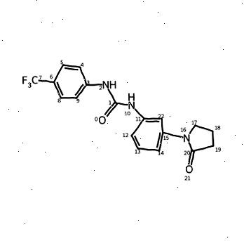 O=C(Nc1ccc(C(F)(F)F)cc1)Nc1cccc(N2CCCC2=O)c1